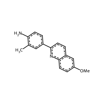 COc1ccc2nc(-c3ccc(N)c(C)c3)ccc2c1